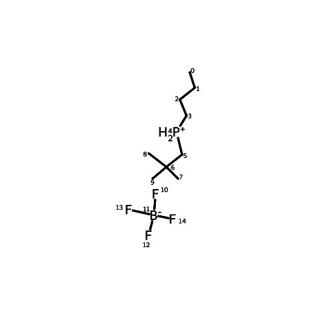 CCCC[PH2+]CC(C)(C)C.F[B-](F)(F)F